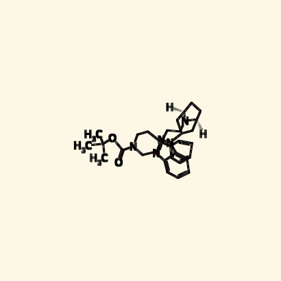 CC(C)(C)OC(=O)N1CCC(CCN2[C@@H]3CC[C@H]2CC(n2nnc4ccccc42)C3)(c2ccccc2)CC1